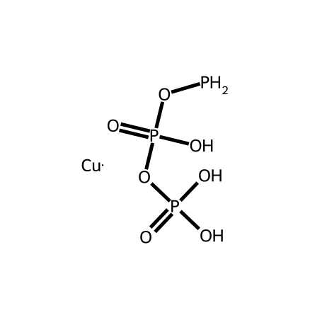 O=P(O)(O)OP(=O)(O)OP.[Cu]